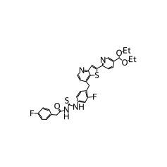 CCOC(OCC)c1ccc(-c2cc3nccc(Cc4ccc(NC(=S)NC(=O)Cc5ccc(F)cc5)cc4F)c3s2)nc1